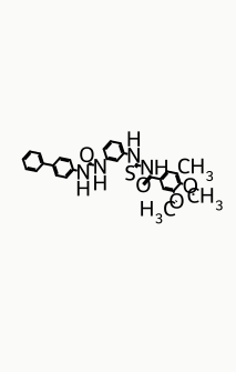 COc1cc(C(=O)NC(=S)Nc2cccc(NC(=O)Nc3ccc(-c4ccccc4)cc3)c2)cc(C)c1OC